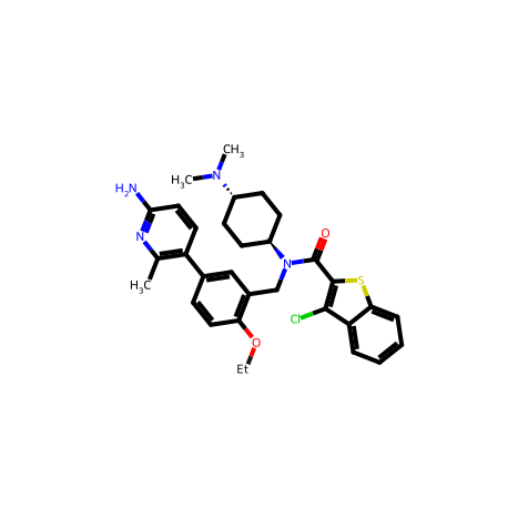 CCOc1ccc(-c2ccc(N)nc2C)cc1CN(C(=O)c1sc2ccccc2c1Cl)[C@H]1CC[C@H](N(C)C)CC1